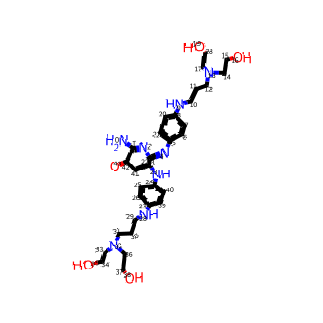 NC1=N/C(=N\c2ccc(NCCCN(CCO)CCO)cc2)C(Nc2ccc(NCCCN(CCO)CCO)cc2)=CC1=O